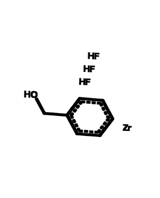 F.F.F.OCc1ccccc1.[Zr]